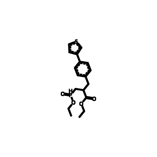 CCOC(=O)C(Cc1ccc(-c2ccsc2)cc1)C[PH](=O)OCC